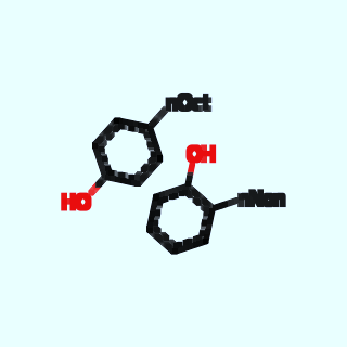 CCCCCCCCCc1ccccc1O.CCCCCCCCc1ccc(O)cc1